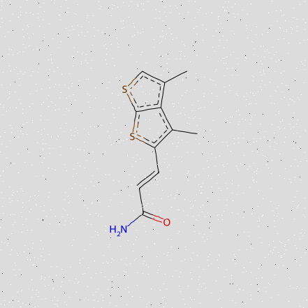 Cc1csc2sc(C=CC(N)=O)c(C)c12